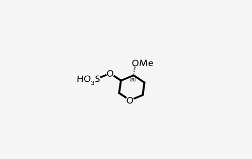 CO[C@@H]1CCOCC1OS(=O)(=O)O